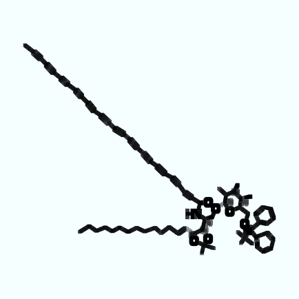 CC#CC#CC#CC#CC#CC#CC#CC#CC#CC#CC#CC#CC(=O)N[C@@H](CO[C@H]1OC(CO[Si](c2ccccc2)(c2ccccc2)C(C)(C)C)[C@H](C)[C@H](C)C1C)[C@@H]1OC(C)(C)O[C@@H]1C=CCCCCCCCCCCCC